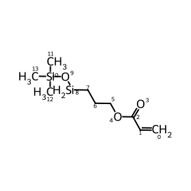 C=CC(=O)OCCC[SiH2]O[Si](C)(C)C